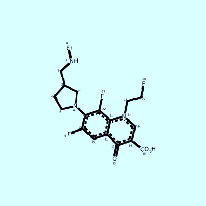 CCNCC1CCN(c2c(F)cc3c(=O)c(C(=O)O)cn(CCF)c3c2F)C1